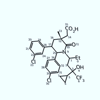 CCC(CC(O)(C1CC1)C(F)(F)F)N1C(=O)[C@@](C)(CC(=O)O)CC(c2cccc(Cl)c2)C1c1ccc(Cl)cc1